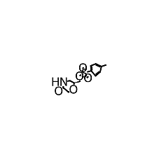 Cc1ccc(S(=O)(=O)OC[C@@H]2CNC(=O)CO2)cc1